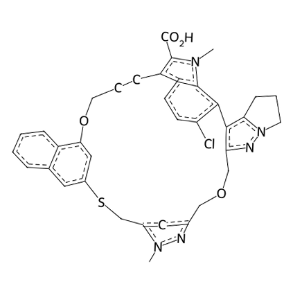 Cn1nc2cc1CSc1cc(c3ccccc3c1)OCCCc1c(C(=O)O)n(C)c3c(c(Cl)ccc13)-c1c(nn3c1CCC3)COC2